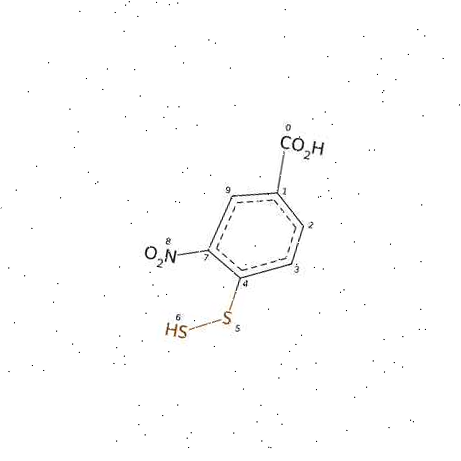 O=C(O)c1ccc(SS)c([N+](=O)[O-])c1